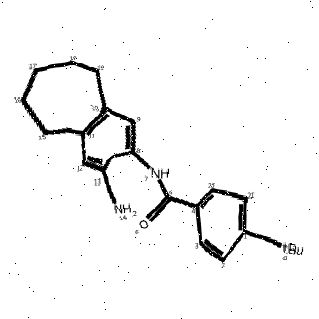 CC(C)(C)c1ccc(C(=O)Nc2cc3c(cc2N)CCCCC3)cc1